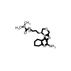 CN(C)C(=O)NCCC[C@H]1COCc2nc3c(N)nc4c(c3n21)CCCC4